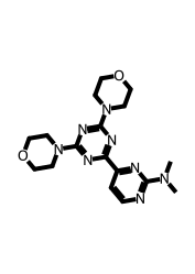 CN(C)c1nccc(-c2nc(N3CCOCC3)nc(N3CCOCC3)n2)n1